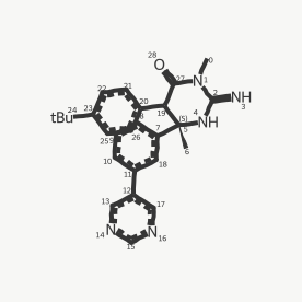 CN1C(=N)N[C@](C)(c2cccc(-c3cncnc3)c2)C(c2ccc(C(C)(C)C)cc2)C1=O